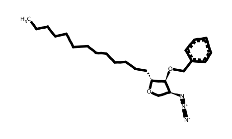 CCCCCCCCCCCCC[C@H]1OC[C@H](N=[N+]=[N-])[C@@H]1OCc1ccccc1